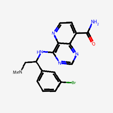 CNCC(Nc1ncnc2c(C(N)=O)ccnc12)c1cccc(Br)c1